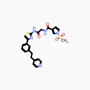 CS(=O)(=O)n1ccc(C(=O)NCC(=O)Nc2nc(-c3cccc(CCc4ccncc4)c3)cs2)c1